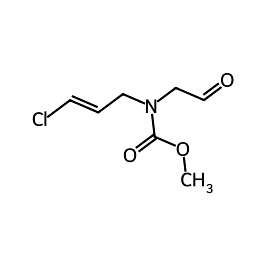 COC(=O)N(CC=O)C/C=C/Cl